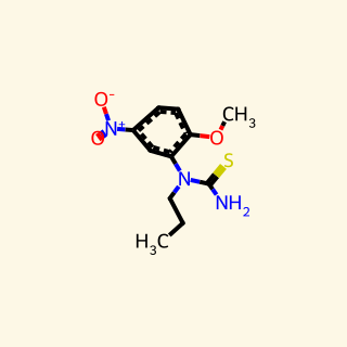 CCCN(C(N)=S)c1cc([N+](=O)[O-])ccc1OC